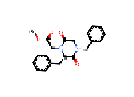 CC(C)(C)OC(=O)CN1C(=O)CN(Cc2ccccc2)C(=O)[C@H]1Cc1ccccc1